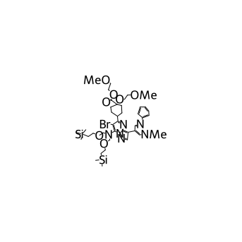 CN/C=C(\C=N\c1ccccc1)c1cnn2c(N(COCC[Si](C)(C)C)COCC[Si](C)(C)C)c(Br)c(C3CCC(OCCOC)(C(=O)OCCOC)CC3)nc12